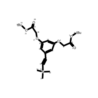 CC(C)(C)OC(=O)COc1cc(C#C[Si](C)(C)C)cc(OCC(=O)OC(C)(C)C)c1